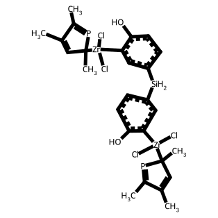 CC1=C[C](C)([Zr]([Cl])([Cl])[c]2cc([SiH2]c3ccc(O)[c]([Zr]([Cl])([Cl])[C]4(C)C=C(C)C(C)=P4)c3)ccc2O)P=C1C